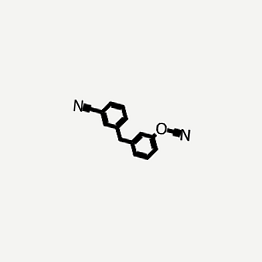 N#COc1cccc(Cc2cccc(C#N)c2)c1